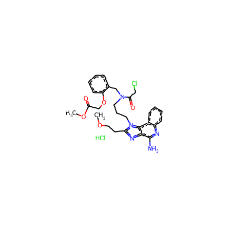 COCCc1nc2c(N)nc3ccccc3c2n1CCCN(Cc1ccccc1OCC(=O)OC)C(=O)CCl.Cl